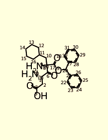 N[C@@H](CC(=O)O)C(=O)[C@](N)(CC1CCCCC1)C(=O)OC(c1ccccc1)c1ccccc1